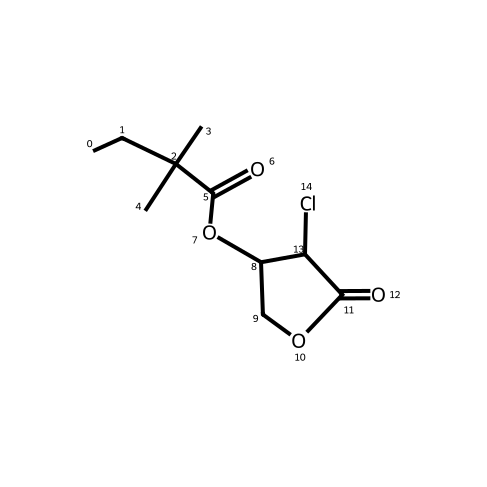 CCC(C)(C)C(=O)OC1COC(=O)C1Cl